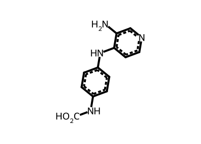 Nc1cnccc1Nc1ccc(NC(=O)O)cc1